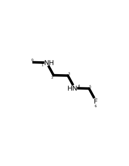 CNCCNCF